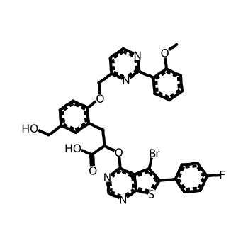 COc1ccccc1-c1nccc(COc2ccc(CO)cc2CC(Oc2ncnc3sc(-c4ccc(F)cc4)c(Br)c23)C(=O)O)n1